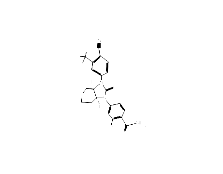 Cc1cc(N2C(=O)N(c3ccc(C#N)c(C(F)(F)F)c3)[C@@H]3COCC[C@H]32)ccc1C(N)=O